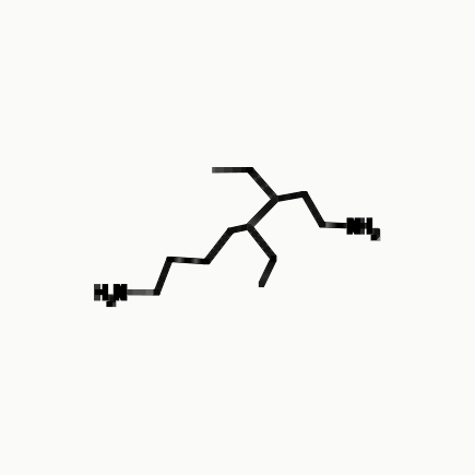 CCC(CCN)C(CC)CCCCN